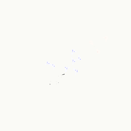 CC1(C)[C@H]2CC[C@@]1(c1ccnc(-n3cnc(CCS(=O)(=O)C4COC4)n3)n1)c1nnc(-c3c(F)cccc3F)cc12